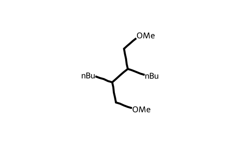 CCCCC(COC)C(CCCC)COC